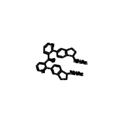 CC(=O)NC1CCc2cc(-c3ncccc3C(=O)c3cccnc3-c3ccc4c(c3)CCC4NC(C)=O)ccc21